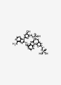 Nc1ncnc2c1ncn2[C@H]1CC(O)[C@@H](COP(=O)(S)OCC2C[C@@H](COP(=O)(O)S)O[C@H]2n2c(=O)sc3c(N)ncnc32)O1